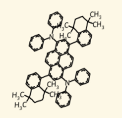 CC1(C)CCC(C)(C)c2c(-c3cc(N(c4ccccc4)c4ccccc4)c4ccc5c(-c6cccc7c6C(C)(C)CCC7(C)C)cc(N(c6ccccc6)c6ccccc6)c6ccc3c4c56)cccc21